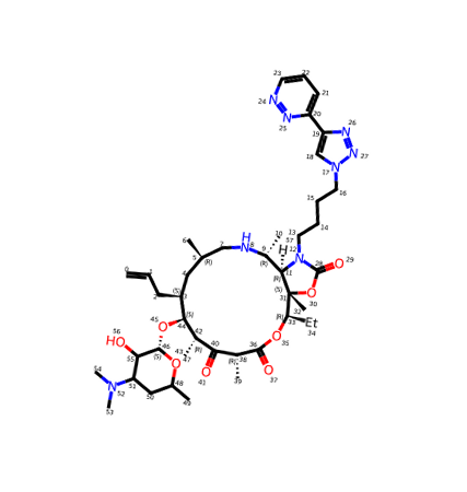 C=CC[C@H]1C[C@@H](C)CN[C@H](C)[C@H]2N(CCCCn3cc(-c4cccnn4)nn3)C(=O)O[C@]2(C)[C@@H](CC)OC(=O)[C@H](C)C(=O)[C@H](C)[C@H]1O[C@@H]1OC(C)CC(N(C)C)C1O